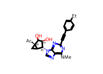 CCc1ccc(C#Cc2nc(NC)c3ncn([C@@H]4C5C[C@]5(C(C)=O)C(O)[C@H]4O)c3n2)cc1